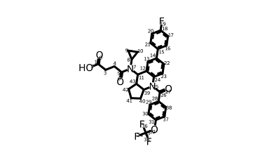 O=C(O)CCC(=O)N(C1CC1)C1c2cc(-c3ccc(F)cc3)ccc2N(C(=O)c2ccc(OC(F)(F)F)cc2)C2CCCC21